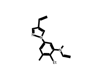 C=Cc1cnn(-c2cc(C)c(CC)c(N(C)C=C)c2)c1